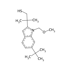 COCn1c(C(C)(C)CS)cc2ccc(C(C)(C)C)cc21